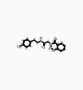 O=C(Cn1nnc2ccccc2c1=O)NCCc1ccc(Cl)cc1